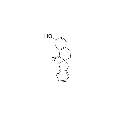 O=C1c2cc(O)ccc2CCC12Cc1ccccc1C2